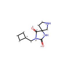 O=C1NC2(CCNC2)C(=O)N1CC1CCC1